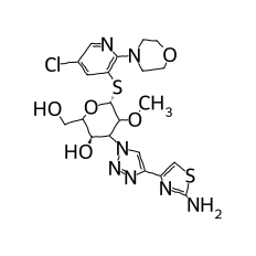 COC1C(n2cc(-c3csc(N)n3)nn2)[C@@H](O)C(CO)O[C@@H]1Sc1cc(Cl)cnc1N1CCOCC1